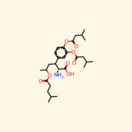 CC(C)CCC(=O)OC(C)CC(c1ccc(OC(=O)CC(C)C)c(OC(=O)CC(C)C)c1)[C@H](N)C(=O)O